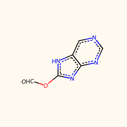 O=[C]Oc1nc2ncncc2[nH]1